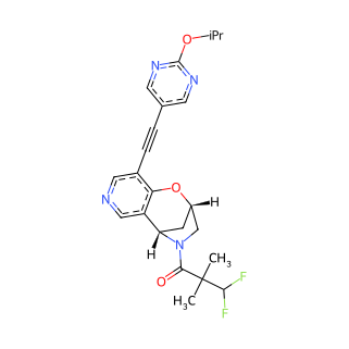 CC(C)Oc1ncc(C#Cc2cncc3c2O[C@H]2C[C@@H]3N(C(=O)C(C)(C)C(F)F)C2)cn1